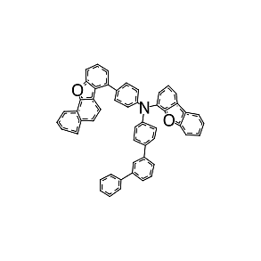 c1ccc(-c2cccc(-c3ccc(N(c4ccc(-c5cccc6oc7c8ccccc8ccc7c56)cc4)c4cccc5c4oc4ccccc45)cc3)c2)cc1